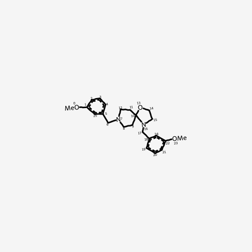 COc1cccc(CN2CCC3(CC2)OCCN3Cc2cccc(OC)c2)c1